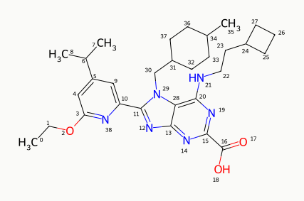 CCOc1cc(C(C)C)cc(-c2nc3nc(C(=O)O)nc(NCCC4CCC4)c3n2CC2CCC(C)CC2)n1